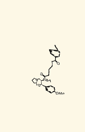 COc1ccc([C@@H](O)[C@@H](CN2CCCC2)NC(=O)CCCCC(=O)c2ccc(C)cc2)cc1